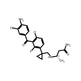 C[C@@H](CC(N)=O)NCC1(c2ccc(Cl)c(C(=O)c3ccc(N)c(Cl)c3)c2F)CC1